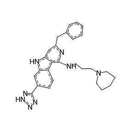 c1ccc(Cc2cc3[nH]c4cc(-c5nn[nH]n5)ccc4c3c(NCCCN3CCCCC3)n2)cc1